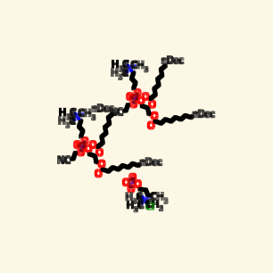 CC(CCOP(=O)([O-])[O-])[N+](C)(C)C.CCCCCCCCCCCCCCCCCC(=O)OCC(COP(=O)(OCCC#N)OCCCC[N+](C)(C)C)OC(=O)CCCCCCCCCCCCCCCCC.CCCCCCCCCCCCCCCCCC(=O)OCC(COP(=O)(OCCC#N)OCCCC[N+](C)(C)C)OC(=O)CCCCCCCCCCCCCCCCC.[Cl-]